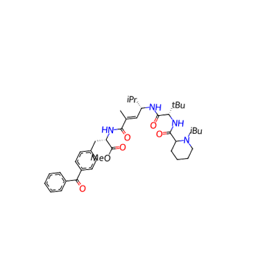 CCC(C)N1CCCCC1C(=O)N[C@H](C(=O)N[C@H](/C=C(\C)C(=O)N[C@@H](Cc1ccc(C(=O)c2ccccc2)cc1)C(=O)OC)C(C)C)C(C)(C)C